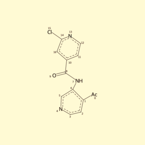 CC(=O)c1ccncc1NC(=O)c1ccnc(Cl)c1